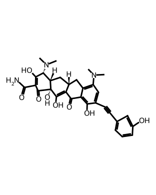 CN(C)c1cc(C#Cc2cccc(O)c2)c(O)c2c1C[C@H]1C[C@H]3[C@@H](N(C)C)C(O)=C(C(N)=O)C(=O)[C@]3(O)C(O)=C1C2=O